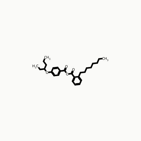 CCCCCCCCc1ccccc1C(=O)OC(=O)c1ccc(OC(CC)CCC)cc1